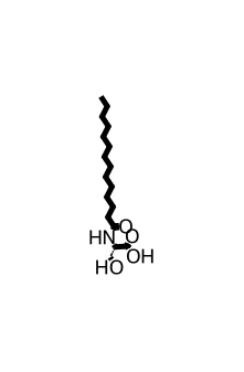 CCCCCCCCCCCCCC(=O)N[C@@H](CO)C(=O)O